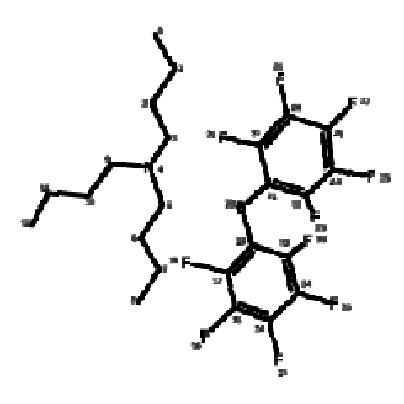 CCCCN(CCCC)CCCC.Fc1c(F)c(F)c([B]c2c(F)c(F)c(F)c(F)c2F)c(F)c1F